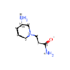 NC(=O)CCN1CCC[C@H](N)C1